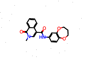 Cn1cc(C(=O)Nc2ccc3c(c2)OCCCO3)c2ccccc2c1=O